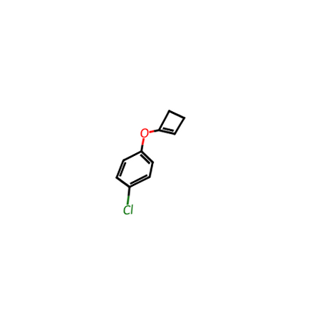 Clc1ccc(OC2=CCC2)cc1